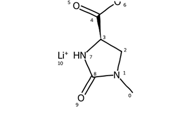 CN1C[C@H](C(=O)[O-])NC1=O.[Li+]